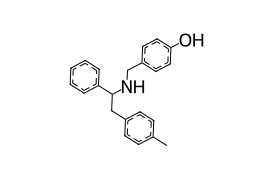 Cc1ccc(CC(NCc2ccc(O)cc2)c2ccccc2)cc1